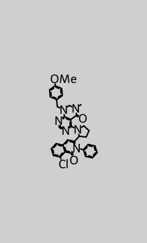 COc1ccc(CN2CN(C)C(=O)c3c2ncnc3N2CCCC2c2cc3cccc(Cl)c3c(=O)n2-c2ccccc2)cc1